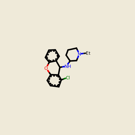 CCN1CCCC(NC2c3ccccc3Oc3cccc(Cl)c32)C1